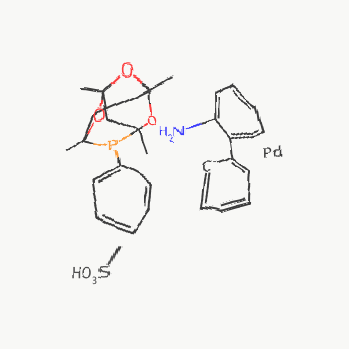 CC12CC3(C)OC(C)(CC(C)(O1)P3c1ccccc1)O2.CS(=O)(=O)O.Nc1ccccc1-c1[c-]cccc1.[Pd]